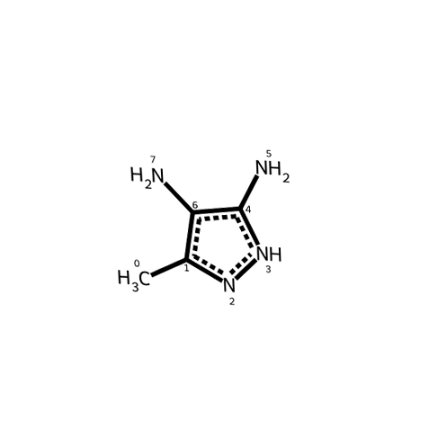 Cc1n[nH]c(N)c1N